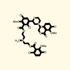 COc1c(Cl)ccc(Cl)c1C(=O)OCCN(C)CCOC(=O)c1c(Cl)c(C2CN(CCOC(=O)c3c(Cl)ccc(Cl)c3OC)CCO2)cc(Cl)c1OC